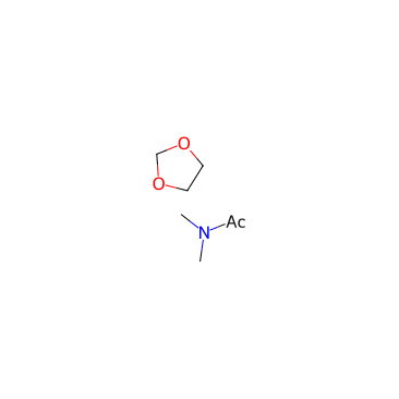 C1COCO1.CC(=O)N(C)C